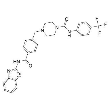 O=C(Nc1nc2ccccc2s1)c1ccc(CN2CCN(C(=O)Nc3ccc(C(F)(F)F)cc3)CC2)cc1